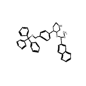 COC(OC1CNCCC1c1ccc(COC(c2ccccc2)(c2ccccc2)c2ccccc2)cc1)c1ccc2ccccc2c1